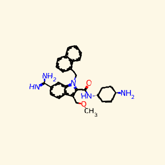 COCc1c(C(=O)N[C@H]2CC[C@H](N)CC2)n(Cc2cccc3ccccc23)c2cc(C(=N)N)ccc12